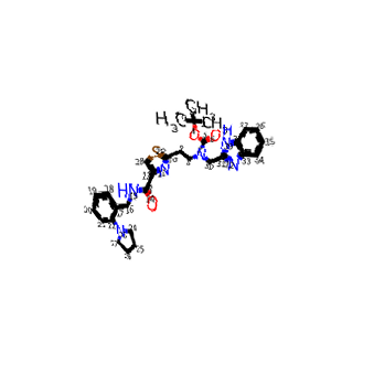 CC(C)(C)OC(=O)N(CCc1nc(C(=O)NCc2ccccc2N2CCCC2)cs1)Cc1nc2ccccc2[nH]1